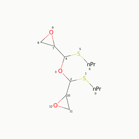 CCCSC(OC(SCCC)C1CO1)C1CO1